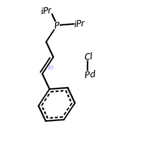 CC(C)P(C/C=C/c1ccccc1)C(C)C.[Cl][Pd]